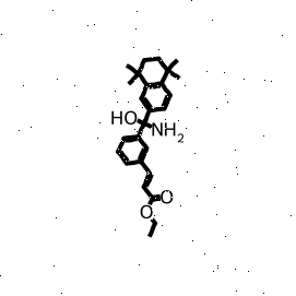 CCOC(=O)/C=C/c1cccc(C(N)(O)c2ccc3c(c2)C(C)(C)CCC3(C)C)c1